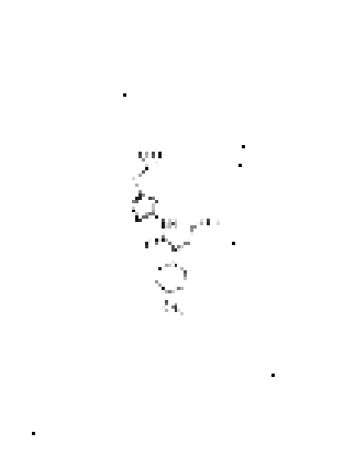 CC(C)COCCN(C(=O)Nc1ncc(SCC(=O)O)s1)[C@H]1CC[C@H](C)CC1